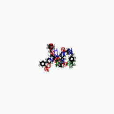 COC(=O)c1ccccc1C1CCN(C(=O)[C@@H](NC(=O)[C@@H]2CN(C(=O)c3cnn(Cc4ccc(C(F)(F)F)cc4)c3)CC23CN(C(=O)C2(C(F)(F)F)CC2)C3)[C@@H](C)OCC23CCC(CC2)OC3)CC1